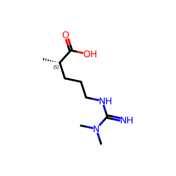 C[C@@H](CCCNC(=N)N(C)C)C(=O)O